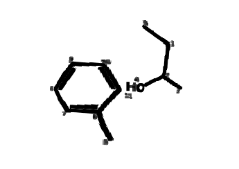 CCC(C)O.Cc1ccccc1